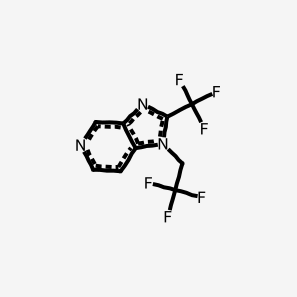 FC(F)(F)Cn1c(C(F)(F)F)nc2cnccc21